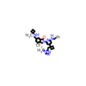 CC(C)CNc1cc(C2(Cc3nncn3C)CCC2)cc(N2Cc3c(cc(CNC4(C)CCC4)cc3C(F)(F)F)C2=O)n1